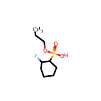 CCCOP(=O)(O)C1CCCCC1F